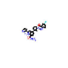 Cc1c(-c2ccc(C(N)=O)c3[nH]c(-c4cccnc4)cc23)cccc1-n1cnc2ccc(F)cc2c1=O